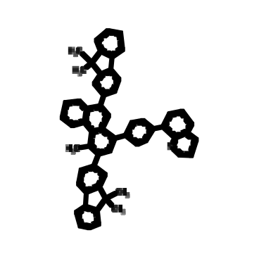 Cc1c(-c2ccc3c(c2)C(C)(C)c2ccccc2-3)cc(-c2ccc(-c3cccc4cccnc34)cc2)c2cc(-c3ccc4c(c3)C(C)(C)c3ccccc3-4)c3ccccc3c12